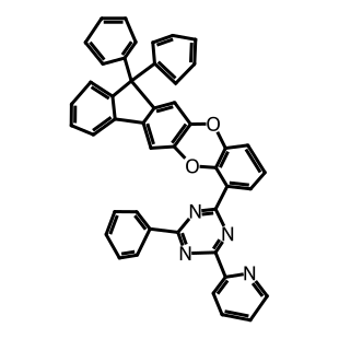 c1ccc(-c2nc(-c3ccccn3)nc(-c3cccc4c3Oc3cc5c(cc3O4)C(c3ccccc3)(c3ccccc3)c3ccccc3-5)n2)cc1